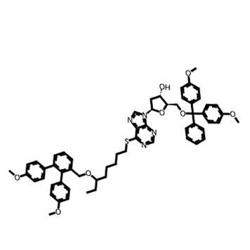 CCC(CCCCCSc1ncnc2c1ncn2[C@H]1C[C@H](O)[C@@H](COC(c2ccccc2)(c2ccc(OC)cc2)c2ccc(OC)cc2)O1)OCc1cccc(-c2ccc(OC)cc2)c1-c1ccc(OC)cc1